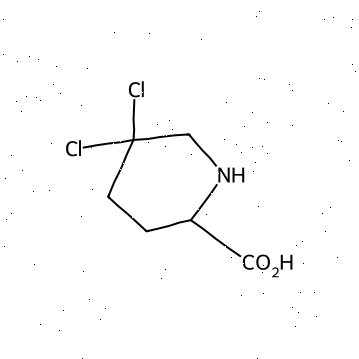 O=C(O)C1CCC(Cl)(Cl)CN1